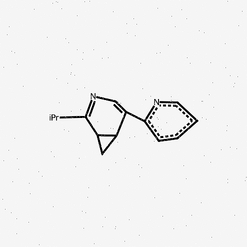 CC(C)C1=NC=C(c2ccccn2)C2CC12